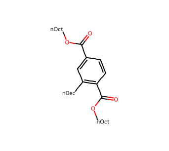 CCCCCCCCCCc1cc(C(=O)OCCCCCCCC)ccc1C(=O)OCCCCCCCC